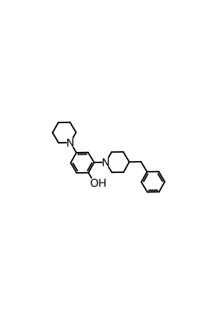 Oc1ccc(N2CCCCC2)cc1N1CCC(Cc2ccccc2)CC1